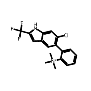 C[N+](C)(C)c1ccccc1-c1cc2cc(C(F)(F)F)[nH]c2cc1Cl